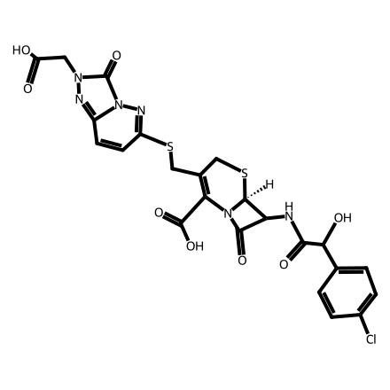 O=C(O)Cn1nc2ccc(SCC3=C(C(=O)O)N4C(=O)C(NC(=O)C(O)c5ccc(Cl)cc5)[C@@H]4SC3)nn2c1=O